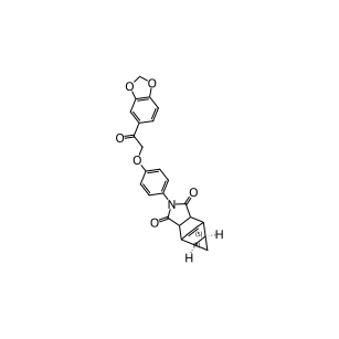 O=C(COc1ccc(N2C(=O)C3C(C2=O)C2C=CC3[C@H]3C[C@@H]23)cc1)c1ccc2c(c1)OCO2